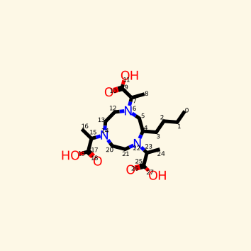 CCCCC1CN(C(C)C(=O)O)CCN(C(C)C(=O)O)CCN1C(C)C(=O)O